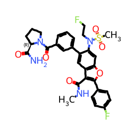 CNC(=O)c1c(-c2ccc(F)cc2)oc2cc(N(CCF)S(C)(=O)=O)c(-c3cccc(C(=O)N4CCC[C@@H]4C(N)=O)c3)cc12